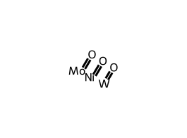 [O]=[Mo].[O]=[Ni].[O]=[W]